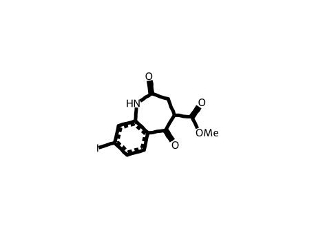 COC(=O)C1CC(=O)Nc2cc(I)ccc2C1=O